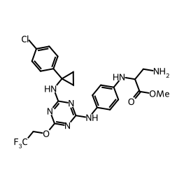 COC(=O)C(CN)Nc1ccc(Nc2nc(NC3(c4ccc(Cl)cc4)CC3)nc(OCC(F)(F)F)n2)cc1